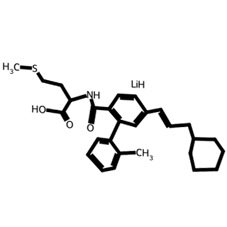 CSCCC(NC(=O)c1ccc(C=CCC2CCCCC2)cc1-c1ccccc1C)C(=O)O.[LiH]